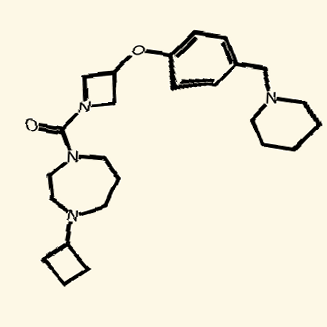 O=C(N1CCCN(C2CCC2)CC1)N1CC(Oc2ccc(CN3CCCCC3)cc2)C1